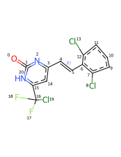 O=c1nc(/C=C/c2c(Cl)cccc2Cl)cc(C(F)(F)Cl)[nH]1